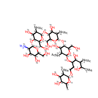 COC(O)C(NC(C)=O)C(O)C(CCO[C@@H]1OC(C)[C@@H](O)C(O)C1OC)O[C@@H]1OC(CO)[C@@H](O[C@@H]2OC(CO)[C@@H](O[C@@H]3OC(CO)[C@@H](O[C@@H]4OC(CO)[C@@H](O)C(O)C4N)C(O)C3NC(C)=O)C(O)C2NC(C)=O)C(O)C1NC(C)=O